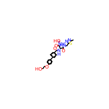 Cc1nnc(CNC(=O)C(NC(=O)c2ccc(-c3ccc(OCCO)cc3)cc2)C(=O)NO)s1